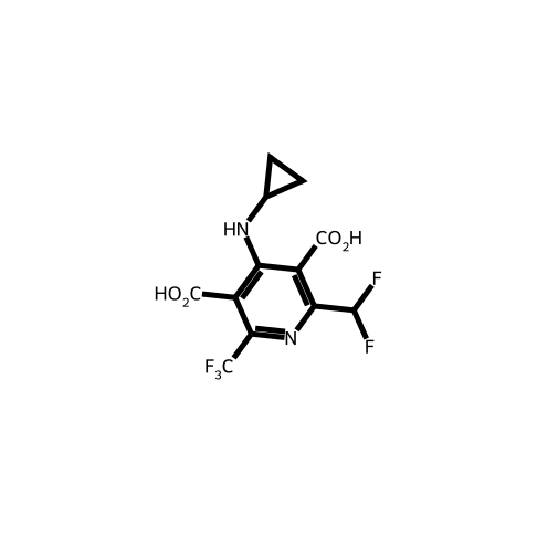 O=C(O)c1c(C(F)F)nc(C(F)(F)F)c(C(=O)O)c1NC1CC1